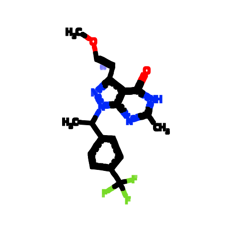 CO/C=C/c1nn(C(C)c2ccc(C(F)(F)F)cc2)c2nc(C)[nH]c(=O)c12